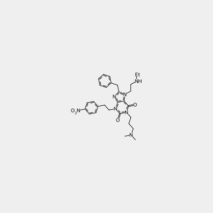 CCNCCn1c(Cc2ccccc2)nc2c1c(=O)n(CCCN(C)C)c(=O)n2CCc1ccc([N+](=O)[O-])cc1